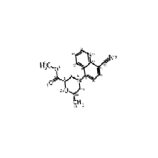 COC(=O)[C@H]1CN(c2ccc(C#N)c3ncccc23)C[C@@H](C)O1